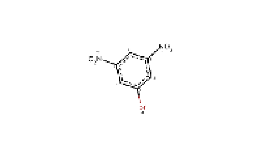 O=[N+]([O-])c1[c]c(Br)cc([N+](=O)[O-])c1